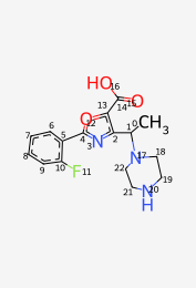 CC(c1nc(-c2ccccc2F)oc1C(=O)O)N1CCNCC1